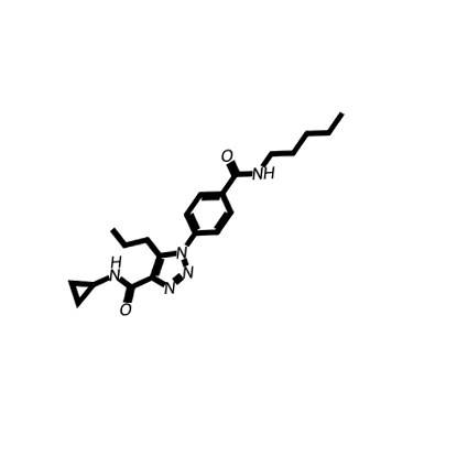 CCCCCNC(=O)c1ccc(-n2nnc(C(=O)NC3CC3)c2CCC)cc1